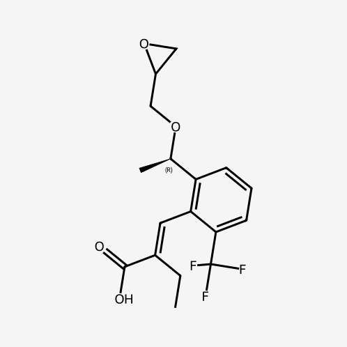 CCC(=Cc1c([C@@H](C)OCC2CO2)cccc1C(F)(F)F)C(=O)O